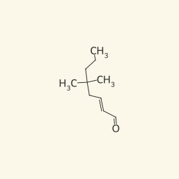 CCCC(C)(C)C/C=C/C=O